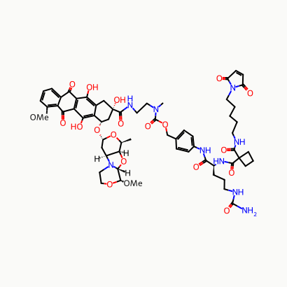 COc1cccc2c1C(=O)c1c(O)c3c(c(O)c1C2=O)C[C@@](O)(C(=O)NCCN(C)C(=O)OCc1ccc(NC(=O)[C@H](CCCNC(N)=O)NC(=O)C2(C(=O)NCCCCCN4C(=O)C=CC4=O)CCC2)cc1)C[C@@H]3O[C@H]1C[C@H]2[C@H](O[C@@H]3[C@@H](OC)OCCN32)[C@H](C)O1